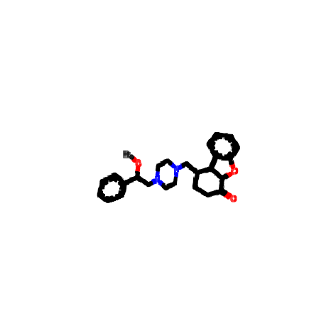 CCOC(CN1CCN(CC2CCC(=O)C3Oc4ccccc4C23)CC1)c1ccccc1